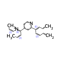 C=C/C=C\C(=C/C=C)c1cc(C(/C=C\C)=N/C=C\C)ccn1